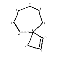 [C]1=CCC12CCCCCC2